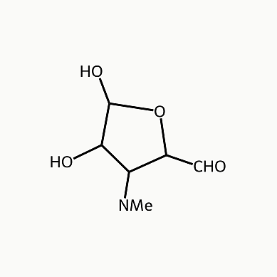 CNC1C(C=O)OC(O)C1O